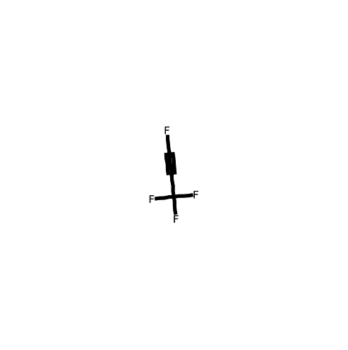 FC#CC(F)(F)F